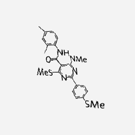 CNc1nc(-c2ccc(SC)cc2)nc(SC)c1C(=O)Nc1ccc(C)cc1C